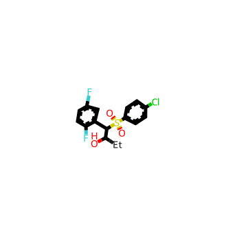 [CH2]CC(O)C(c1cc(F)ccc1F)S(=O)(=O)c1ccc(Cl)cc1